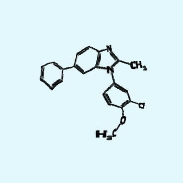 COc1ccc(-n2c(C)nc3ccc(-c4ccccc4)cc32)cc1Cl